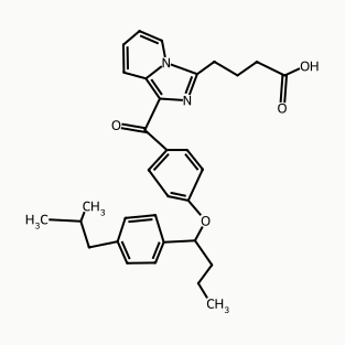 CCCC(Oc1ccc(C(=O)c2nc(CCCC(=O)O)n3ccccc23)cc1)c1ccc(CC(C)C)cc1